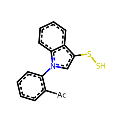 CC(=O)c1ccccc1-n1cc(SS)c2ccccc21